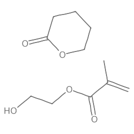 C=C(C)C(=O)OCCO.O=C1CCCCO1